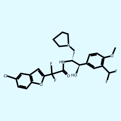 COc1ccc([C@@H](O)[C@@H](CN2CCCC2)NC(=O)C(F)(F)c2cc3cc(Cl)ccc3o2)cc1C(F)F